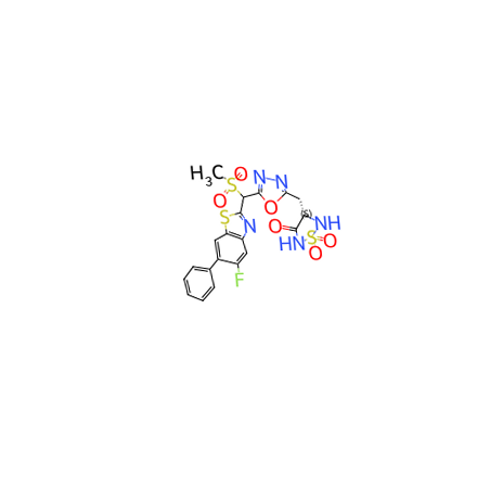 CS(=O)(=O)C(c1nnc(C[C@@H]2NS(=O)(=O)NC2=O)o1)c1nc2cc(F)c(-c3ccccc3)cc2s1